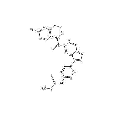 COC(=O)Nc1ccc(-c2cnc3cnc(C(=O)N4CCCc5cc(F)ccc54)cn23)cn1